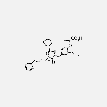 Nc1cc(C[C@H](NC(=O)C2CCCCC2)C(=O)NCCCCc2ccccc2)ccc1OC(F)C(=O)O